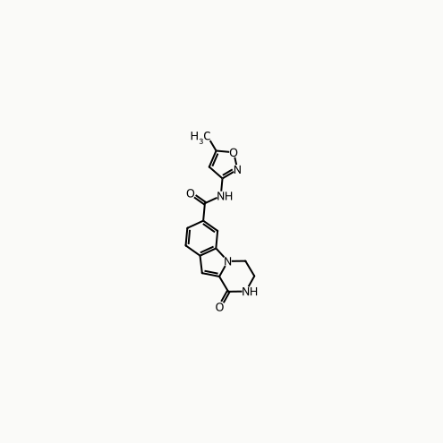 Cc1cc(NC(=O)c2ccc3cc4n(c3c2)CCNC4=O)no1